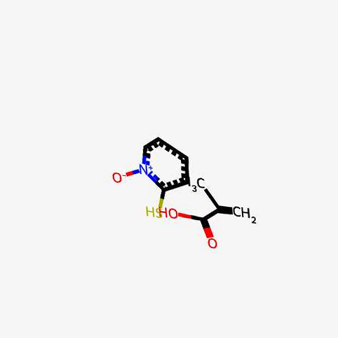 C=C(C)C(=O)O.[O-][n+]1ccccc1S